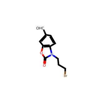 O=Cc1ccc2c(c1)oc(=O)n2CCCBr